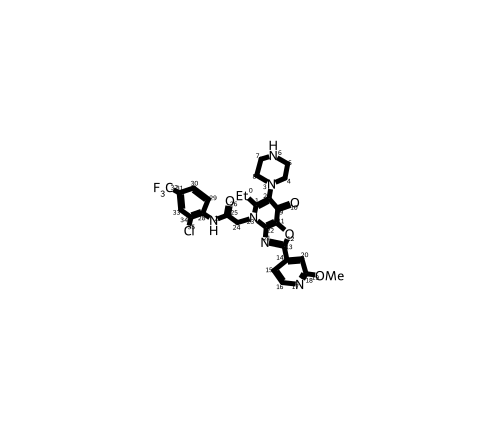 CCc1c(N2CCNCC2)c(=O)c2oc(-c3ccnc(OC)c3)nc2n1CC(=O)Nc1ccc(C(F)(F)F)cc1Cl